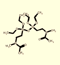 CCO[Si](CCN(C)C(C)=O)(OCC)O[Si](CCN(C)C(C)=O)(OCC)OCC